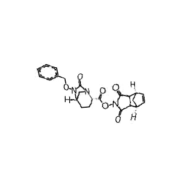 O=C(ON1C(=O)C2C(C1=O)[C@H]1C=C[C@@H]2C1)[C@@H]1CC[C@H]2CN1C(=O)N2OCc1ccccc1